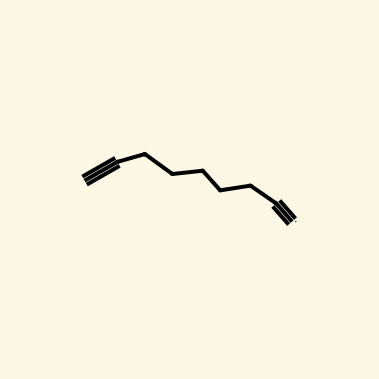 [C]#CCCCCCC#C